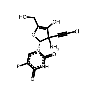 NC1(C#CCl)C(O)=C(CO)O[C@H]1n1cc(F)c(=O)[nH]c1=O